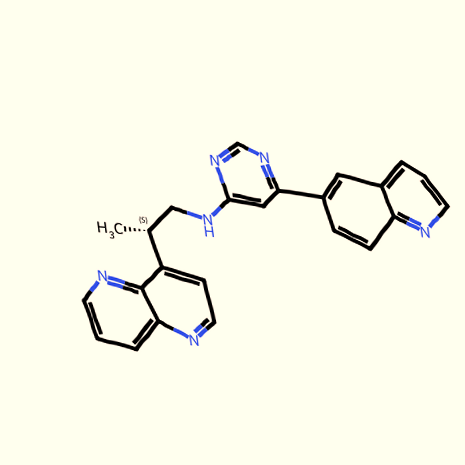 C[C@H](CNc1cc(-c2ccc3ncccc3c2)ncn1)c1ccnc2cccnc12